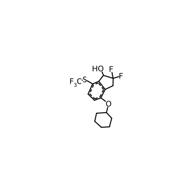 OC1c2c(SC(F)(F)F)ccc(OC3CCCCC3)c2CC1(F)F